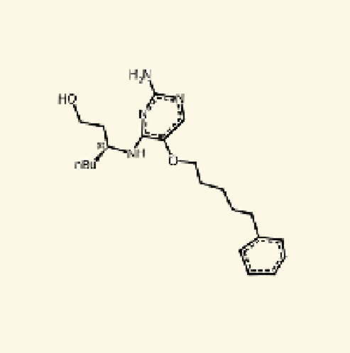 CCCC[C@@H](CCO)Nc1nc(N)ncc1OCCCCCc1ccccc1